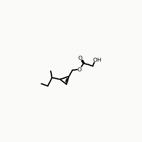 CCC(C)C1C=C1COC(=O)CO